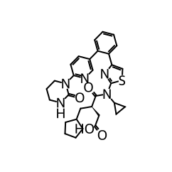 O=C(O)C[C@@H](CC1CCCC1)C(=O)N(c1nc(-c2ccccc2-c2ccc(N3CCCNC3=O)nc2)cs1)C1CC1